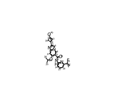 COC12CC(c3cn4cc(C(=O)Nc5cccc(C(F)F)n5)c(OC(C)C)cc4n3)(C1)C2